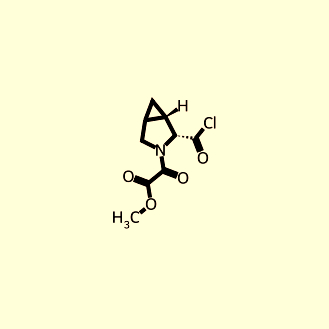 COC(=O)C(=O)N1CC2C[C@@H]2[C@@H]1C(=O)Cl